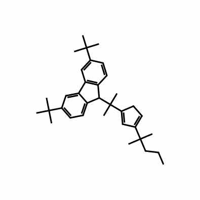 CCCC(C)(C)C1=CCC(C(C)(C)C2c3ccc(C(C)(C)C)cc3-c3cc(C(C)(C)C)ccc32)=C1